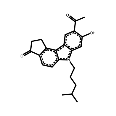 CC(=O)c1cc2c3c4c(ccc3n(CCCC(C)C)c2cc1O)C(=O)CC4